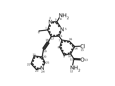 Cc1nc(N)nc(-c2ccc(C(N)=O)c(Cl)c2)c1C#Cc1cccnc1